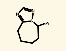 CC(C)C1CCCCc2ncnn21